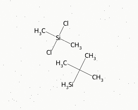 CC(C)(C)[SiH3].C[Si](C)(Cl)Cl